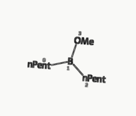 CCCCCB(CCCCC)OC